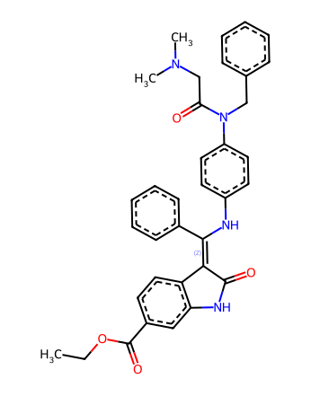 CCOC(=O)c1ccc2c(c1)NC(=O)/C2=C(\Nc1ccc(N(Cc2ccccc2)C(=O)CN(C)C)cc1)c1ccccc1